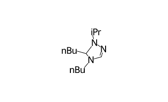 CCCCC1N(CCCC)C=NN1C(C)C